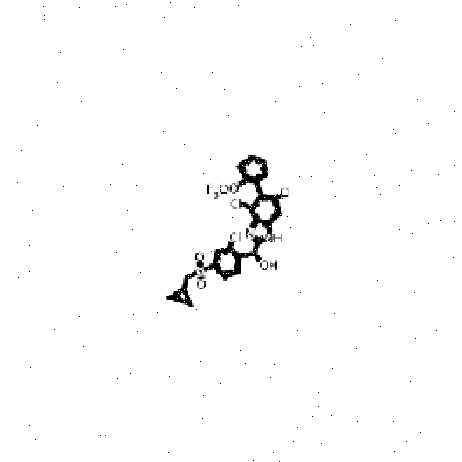 O=S(=O)(CC1CC1)c1ccc(C(O)c2nc3c(Cl)c(-c4ccccc4OC(F)(F)F)c(Cl)cc3[nH]2)c(Cl)c1